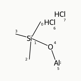 C[Si](C)(C)[O][Al].Cl.Cl